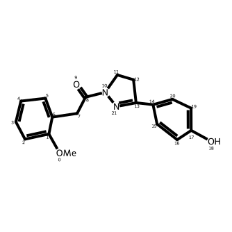 COc1ccccc1CC(=O)N1CCC(c2ccc(O)cc2)=N1